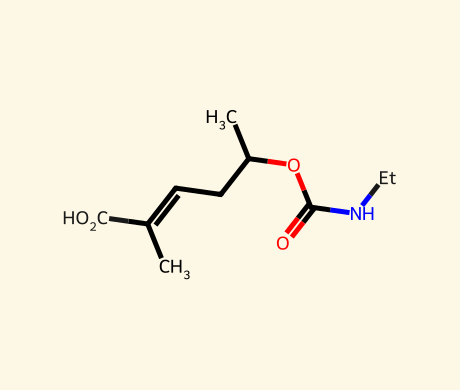 CCNC(=O)OC(C)CC=C(C)C(=O)O